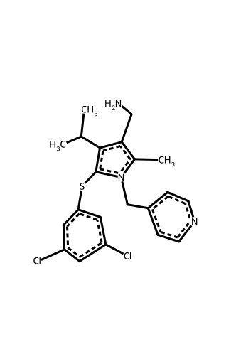 Cc1c(CN)c(C(C)C)c(Sc2cc(Cl)cc(Cl)c2)n1Cc1ccncc1